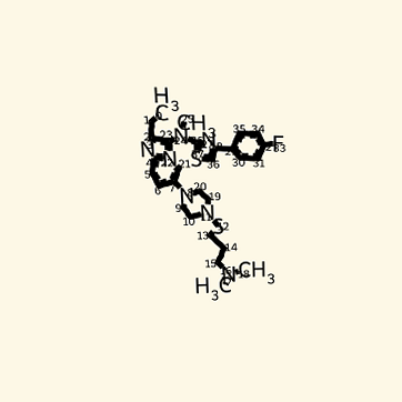 CCc1nc2ccc(N3CCN(SCCCN(C)C)CC3)cn2c1N(C)c1nc(-c2ccc(F)cc2)cs1